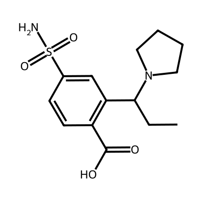 CCC(c1cc(S(N)(=O)=O)ccc1C(=O)O)N1CCCC1